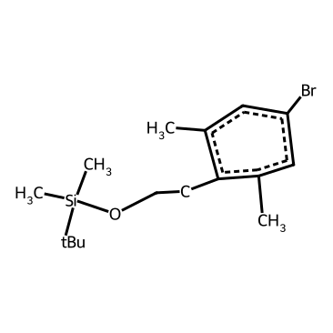 Cc1cc(Br)cc(C)c1CCO[Si](C)(C)C(C)(C)C